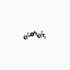 COCC(C)Nc1nccc(/N=N/C(C)c2ccc(CNc3ncccn3)cc2)n1